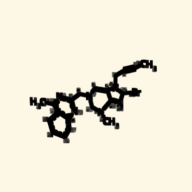 CC#CCN1C2=CN(Cc3nc(C)c4ccccc4n3)CN(C)C2=NC1Br